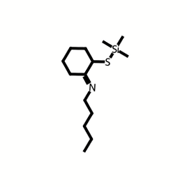 CCCCCN=C1CCCCC1S[Si](C)(C)C